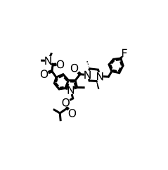 Cc1c(C(=O)N2C[C@H](C)N(Cc3ccc(F)cc3)C[C@H]2C)c2cc(C(=O)C(=O)N(C)C)ccc2n1COC(=O)C(C)C